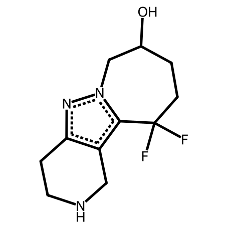 OC1CCC(F)(F)c2c3c(nn2C1)CCNC3